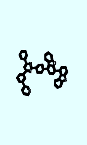 c1ccc(-c2cc(-c3cccc(-c4cccnc4)c3)nc(-c3ccc(-c4ccc(-c5cccc6sc7ccccc7c56)c5oc6ccccc6c45)cc3)n2)cc1